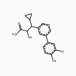 N#Cc1ccc(-c2cncc(C(C3CC3)C(O)C(N)=O)c2)cc1Cl